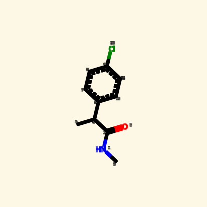 CNC(=O)C(C)c1ccc(Cl)cc1